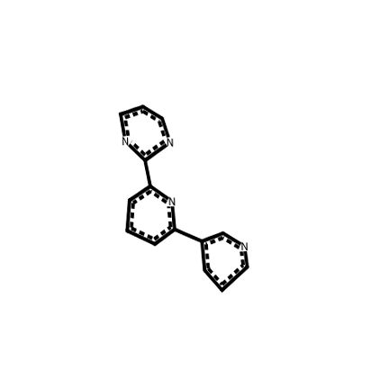 c1cnc(-c2cccc(-c3cccnc3)n2)nc1